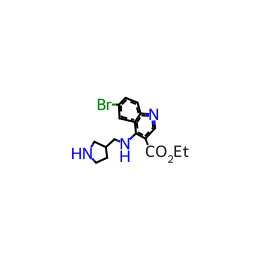 CCOC(=O)c1cnc2ccc(Br)cc2c1NCC1CCNC1